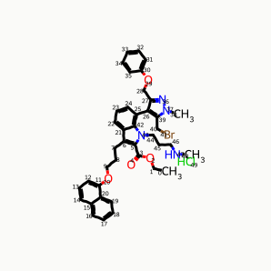 CCOC(=O)c1c(CCCOc2cccc3ccccc23)c2cccc(-c3c(COc4ccccc4)nn(C)c3CBr)c2n1CCCNC.Cl